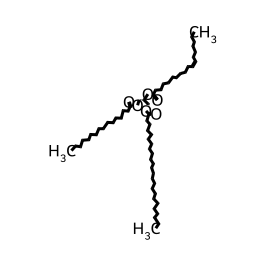 CCCCCC/C=C\CCCCCCCCCC(=O)O[C@@H](COC(=O)CCCCCCCCCCCCCCC)COC(=O)CCCCCCCCCCCCCCCCCCCCCCC